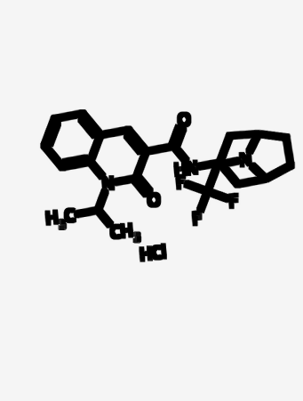 CC(C)n1c(=O)c(C(=O)NC2CC3CCC(C2)N3CC(F)(F)F)cc2ccccc21.Cl